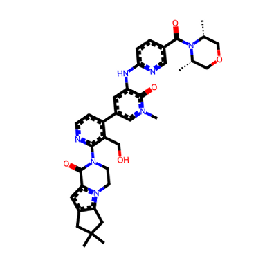 C[C@@H]1COC[C@H](C)N1C(=O)c1ccc(Nc2cc(-c3ccnc(N4CCn5c(cc6c5CC(C)(C)C6)C4=O)c3CO)cn(C)c2=O)nc1